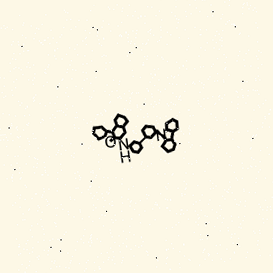 c1cc(Nc2cc3ccccc3c3c2oc2ccccc23)cc(-c2cccc(-n3c4ccccc4c4ccccc43)c2)c1